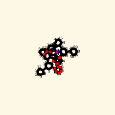 c1ccc(-c2cc(-c3ccccc3)cc(-c3ccccc3-c3cc(-c4ccccc4)cc4c5cc(-c6ccccc6)cc(-c6ccccc6-c6cc(-c7ccccc7)cc(-c7ccccc7)c6)c5n(-c5ccccc5)c34)c2)cc1